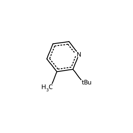 Cc1cccnc1C(C)(C)C